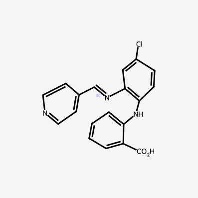 O=C(O)c1ccccc1Nc1ccc(Cl)cc1/N=C/c1ccncc1